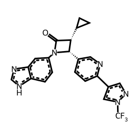 O=C1[C@H](C2CC2)[C@H](c2ccc(-c3cnn(C(F)(F)F)c3)nc2)N1c1ccc2[nH]cnc2c1